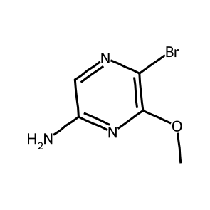 COc1nc(N)cnc1Br